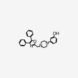 Oc1cccc(N2CCN(Cc3nc(-c4ccccc4)c(-c4ccccc4)o3)CC2)c1